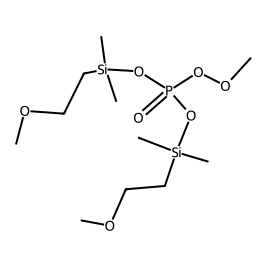 COCC[Si](C)(C)OP(=O)(OOC)O[Si](C)(C)CCOC